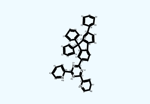 C1=NC(c2nc(-c3ccc4c(c3)C(c3ccccc3)(c3ccccc3)c3cc(-c5ccccc5)ccc3-4)nc(-c3ccccn3)n2)=CCC1